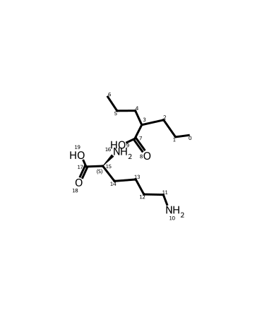 CCCC(CCC)C(=O)O.NCCCC[C@H](N)C(=O)O